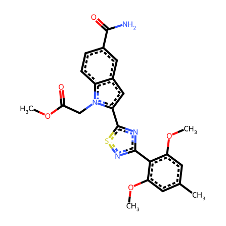 COC(=O)Cn1c(-c2nc(-c3c(OC)cc(C)cc3OC)ns2)cc2cc(C(N)=O)ccc21